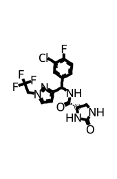 O=C1NC[C@@H](C(=O)NC(c2ccc(F)c(Cl)c2)c2ccn(CC(F)(F)F)n2)N1